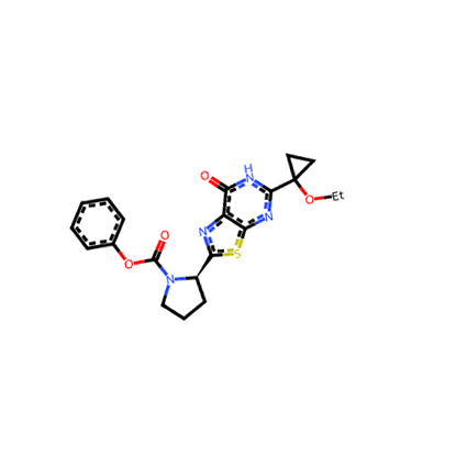 CCOC1(c2nc3sc([C@H]4CCCN4C(=O)Oc4ccccc4)nc3c(=O)[nH]2)CC1